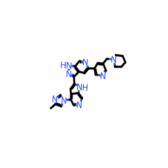 Cc1cn(-c2cncc3[nH]c(-c4n[nH]c5cnc(-c6cncc(CN7CCCCC7)c6)cc45)cc23)cn1